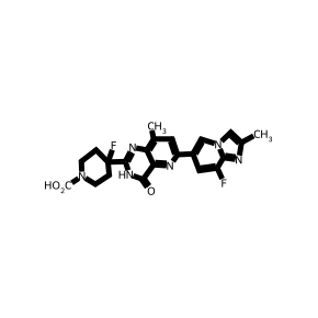 Cc1cn2cc(-c3cc(C)c4nc(C5(F)CCN(C(=O)O)CC5)[nH]c(=O)c4n3)cc(F)c2n1